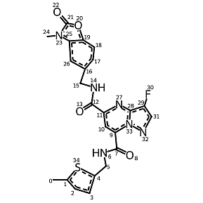 Cc1ccc(CNC(=O)c2cc(C(=O)NCc3ccc4oc(=O)n(C)c4c3)nc3c(F)cnn23)s1